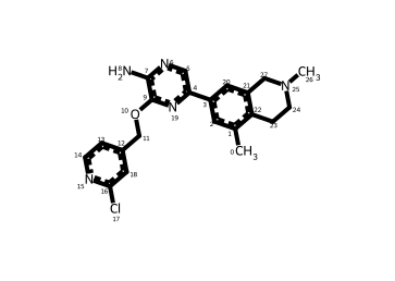 Cc1cc(-c2cnc(N)c(OCc3ccnc(Cl)c3)n2)cc2c1CCN(C)C2